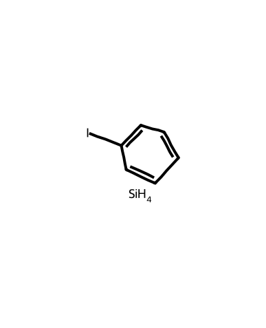 Ic1ccccc1.[SiH4]